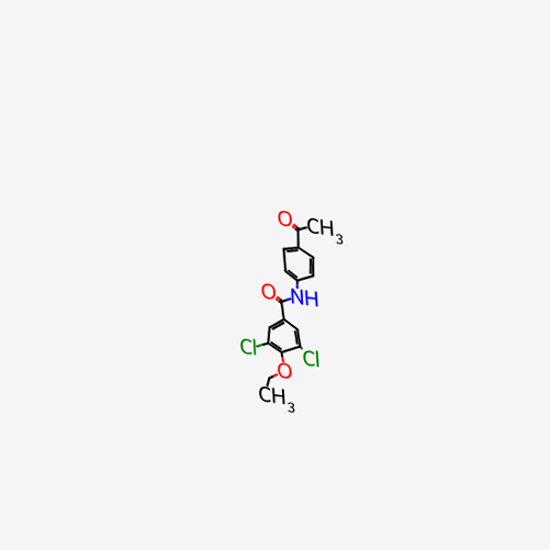 CCOc1c(Cl)cc(C(=O)Nc2ccc(C(C)=O)cc2)cc1Cl